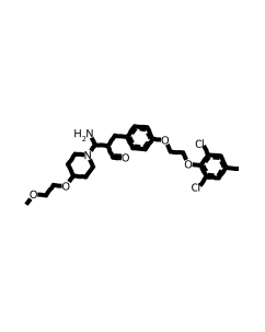 COCCOC1CCN(C(N)C(C=O)Cc2ccc(OCCOc3c(Cl)cc(C)cc3Cl)cc2)CC1